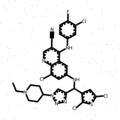 CCN1CCC(n2cc(C(Nc3cc(Cl)c4ncc(C#N)c(Nc5ccc(F)c(Cl)c5)c4c3)c3cc(Cl)sc3Cl)nn2)CC1